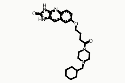 O=C(CCCOc1ccc2nc3[nH]c(=O)[nH]c3cc2c1)N1CCN(CC2CCCCC2)CC1